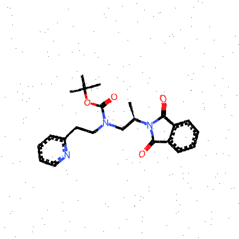 C[C@H](CN(CCc1ccccn1)C(=O)OC(C)(C)C)N1C(=O)c2ccccc2C1=O